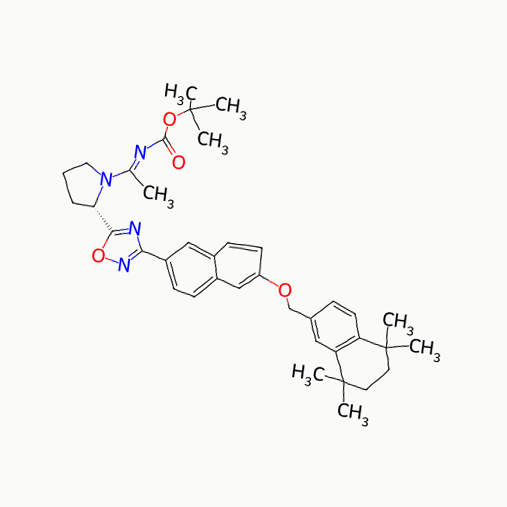 C/C(=N\C(=O)OC(C)(C)C)N1CCC[C@H]1c1nc(-c2ccc3cc(OCc4ccc5c(c4)C(C)(C)CCC5(C)C)ccc3c2)no1